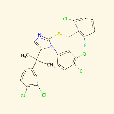 CC(C)(c1ccc(Cl)c(Cl)c1)c1cnc(SCc2c(F)cccc2Cl)n1-c1ccc(Cl)c(Cl)c1